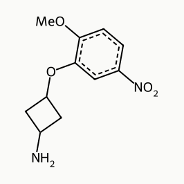 COc1ccc([N+](=O)[O-])cc1OC1CC(N)C1